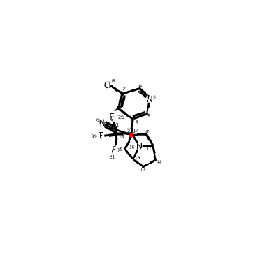 N#CC1(c2cncc(Cl)c2)CC2CCC(C1)N2CC(F)(F)F